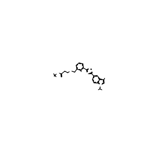 Cc1c(CNCCC(=O)OC(C)(C)C)cccc1-c1noc(-c2ccc3c(c2)c(Cl)cn3C(C)C)n1